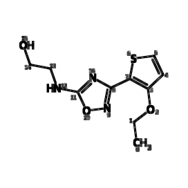 CCOc1ccsc1-c1noc(NCCO)n1